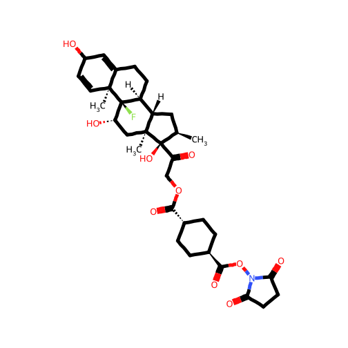 C[C@@H]1C[C@H]2[C@@H]3CCC4=CC(O)C=C[C@]4(C)[C@@]3(F)[C@@H](O)C[C@]2(C)[C@@]1(O)C(=O)COC(=O)[C@H]1CC[C@H](C(=O)ON2C(=O)CCC2=O)CC1